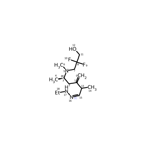 C=C(C[C@@H](C)N(C)CC(F)(F)CO)C(C)/C=N\NCC